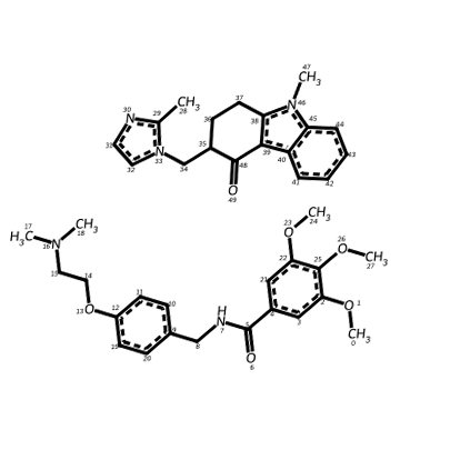 COc1cc(C(=O)NCc2ccc(OCCN(C)C)cc2)cc(OC)c1OC.Cc1nccn1CC1CCc2c(c3ccccc3n2C)C1=O